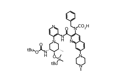 C[C@H]1CN(c2ccncc2NC(=O)c2nc3cc(N4CCN(C)CC4)ccc3cc2N(Cc2ccccc2)C(=O)O)C[C@@H](NC(=O)OC(C)(C)C)[C@@H]1O[Si](C)(C)C(C)(C)C